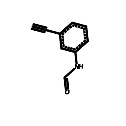 C#Cc1cccc(NC=O)c1